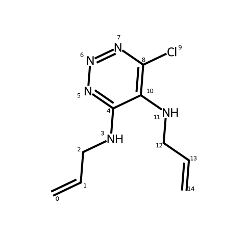 C=CCNc1nnnc(Cl)c1NCC=C